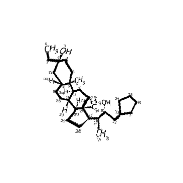 CC[C@]1(O)CC[C@@]2(C)[C@H](CC[C@@H]3[C@@H]2CC[C@]2(C)[C@@H]([C@H](C)[C@H](O)CC4CCCC4)CC[C@@H]32)C1